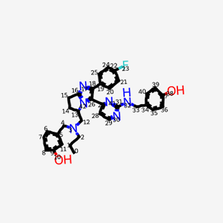 CCCN(Cc1cccc(O)c1)CC1CCc2nc(-c3ccc(F)cc3)c(-c3ccnc(NCc4ccc(O)cc4)n3)n21